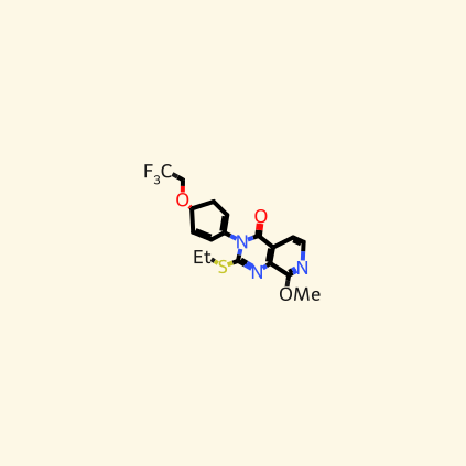 CCSc1nc2c(OC)nccc2c(=O)n1C1=CCC(OCC(F)(F)F)C=C1